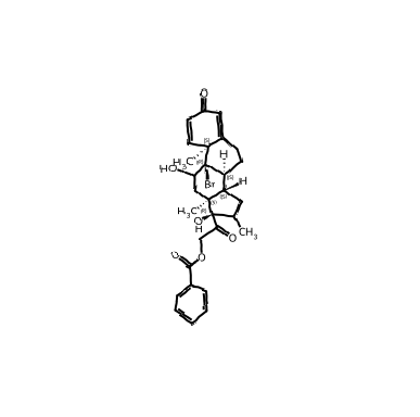 CC1C[C@H]2[C@@H]3CCC4=CC(=O)C=C[C@]4(C)[C@@]3(Br)C(O)C[C@]2(C)[C@@]1(O)C(=O)COC(=O)c1ccccc1